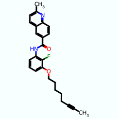 CC#CCCCCCOc1cccc(NC(=O)c2ccc3nc(C)ccc3c2)c1F